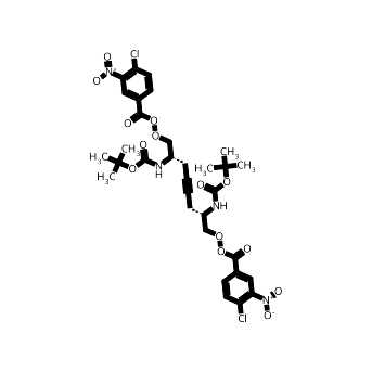 CC(C)(C)OC(=O)N[C@@H](CC#CC[C@@H](COOC(=O)c1ccc(Cl)c([N+](=O)[O-])c1)NC(=O)OC(C)(C)C)COOC(=O)c1ccc(Cl)c([N+](=O)[O-])c1